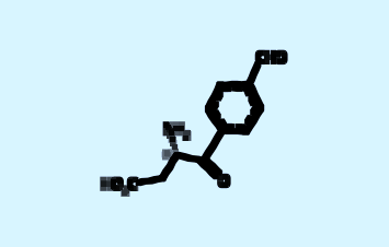 N[C@@H](CC(=O)O)C(=O)c1ccc(C=O)cc1